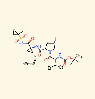 CCC/C=C\[C@@H]1C[C@]1(NC(=O)[C@@H]1C[C@@H](I)CN1C(=O)[C@@H](NC(=O)OC(C)(C)C(F)(F)F)C(CC)CC)C(=O)NS(=O)(=O)C1(C)CC1